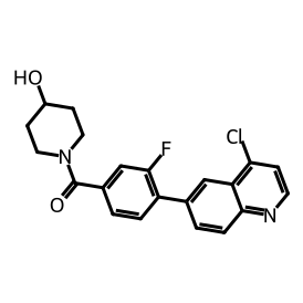 O=C(c1ccc(-c2ccc3nccc(Cl)c3c2)c(F)c1)N1CCC(O)CC1